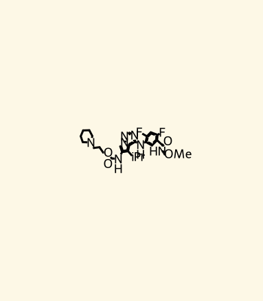 CONC(=O)c1cc(Nc2ncnn3cc(NC(=O)OCCCN4CCCCC4)c(C(C)C)c23)c(F)cc1F